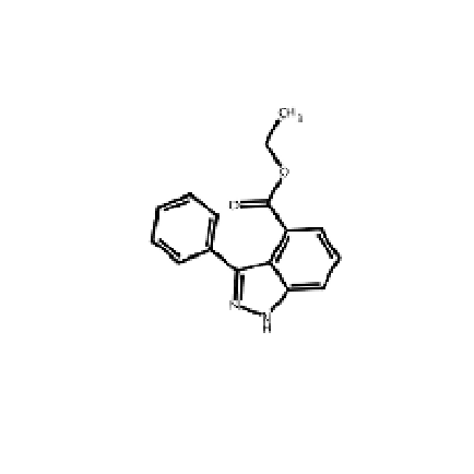 CCOC(=O)c1cccc2[nH]nc(-c3ccccc3)c12